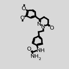 COc1ccc(C2=NN(CCc3ccc(NC(N)=O)cc3)C(=O)CC2)cc1OC